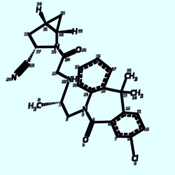 C[C@@H](CN1C(=O)c2cc(Cl)ccc2C(C)(C)c2ccccc21)NCC(=O)N1[C@H](C#N)C[C@@H]2C[C@@H]21